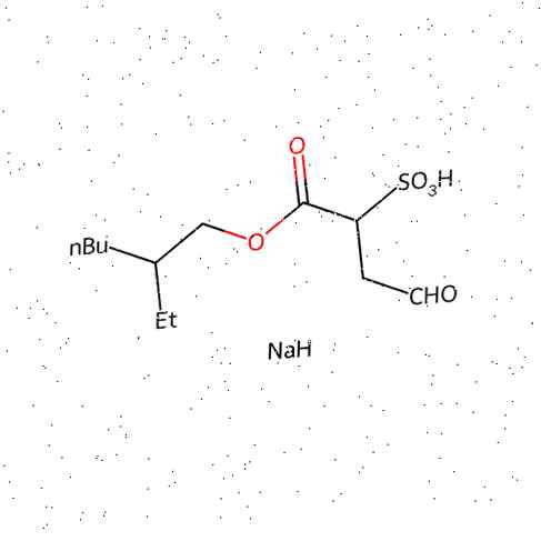 CCCCC(CC)COC(=O)C(CC=O)S(=O)(=O)O.[NaH]